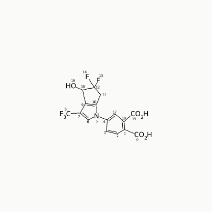 O=C(O)c1ccc(-n2cc(C(F)(F)F)c3c2CC(F)(F)C3O)cc1C(=O)O